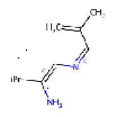 C=C(C)/C=N\C=C(/N)C(C)C